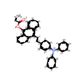 C=CC(=O)Oc1c2ccccc2c(/C=C/c2ccc(N(c3ccccc3)c3ccccc3)cc2)c2ccccc12